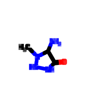 CN1NNC(=O)C1N